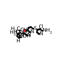 CC(C)(C)N(C(=O)O)[C@H]1[C@@H]2C[C@H]1CN(c1cnc3nc(Sc4ccnc(N)c4Cl)ccc3n1)C2